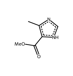 COC(=O)c1[nH]cnc1C